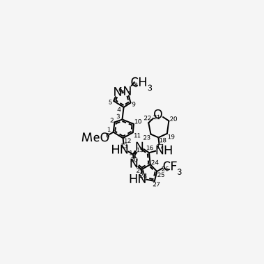 COc1cc(-c2cnn(C)c2)ccc1Nc1nc(NC2CCOCC2)c2c(C(F)(F)F)c[nH]c2n1